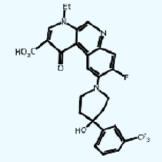 CCn1cc(C(=O)O)c(=O)c2c3cc(N4CCC(O)(c5cccc(C(F)(F)F)c5)CC4)c(F)cc3ncc21